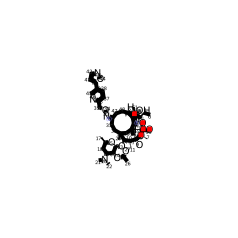 CC[C@H]1OC(=O)[C@H](C)C(=O)[C@H](C)[C@@H](O[C@@H]2O[C@H](C)C[C@H](N(C)C)[C@H]2OC(C)=O)[C@]2(C)CC/C(=N/OCc3ccc(-c4ccno4)cn3)CC[C@H]([C@@H](C)/C(=N/C(C)=O)[C@H](C)C2)[C@]1(C)O